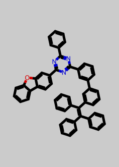 c1ccc(C(=C(c2ccccc2)c2cccc(-c3cccc(-c4nc(-c5ccccc5)nc(-c5ccc6c(c5)oc5ccccc56)n4)c3)c2)c2ccccc2)cc1